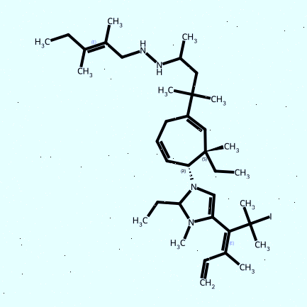 C=C/C(C)=C(\C1=CN([C@@H]2C=CCC(C(C)(C)CC(C)NNC/C(C)=C(\C)CC)=C[C@]2(C)CC)C(CC)N1C)C(C)(C)I